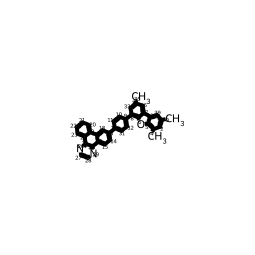 Cc1cc(C)c2oc3c(-c4ccc(-c5ccc6c(c5)c5ccccc5c5nccnc65)cc4)cc(C)cc3c2c1